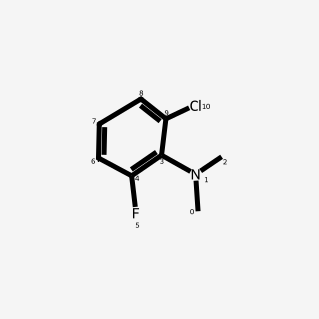 CN(C)c1c(F)[c]ccc1Cl